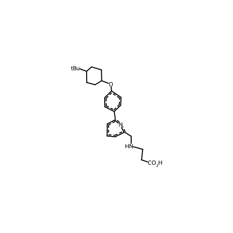 CC(C)(C)C1CCC(Oc2ccc(-c3cccc(CNCCC(=O)O)n3)cc2)CC1